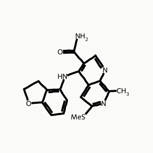 CSc1cc2c(Nc3cccc4c3CCO4)c(C(N)=O)cnc2c(C)n1